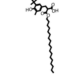 CCCCCCCCCCCCCCCCCCOC(=O)C(Cc1cc(C)c(O)c(C(C)(C)C)c1)C(=O)O